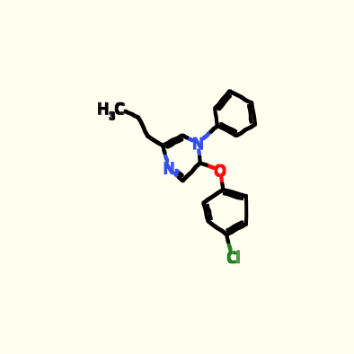 CCCC1=CN(c2ccccc2)C(Oc2ccc(Cl)cc2)C=N1